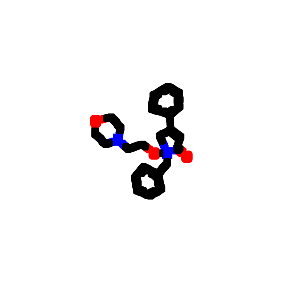 O=C1C=C(c2ccccc2)C[N+]1(Cc1ccccc1)OCCN1CCOCC1